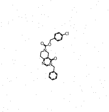 O=C(OCc1ccc(Cl)cc1)N1CCc2ncn(Cc3ccccc3)c(=O)c2C1